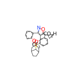 O=C(O)c1cccc(SC2C3CCC2CC(OCc2c(-c4ccccc4OC(F)(F)F)noc2C2CC2)C3)c1